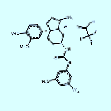 COc1ccc([C@@]23CC[C@@H](NC(=O)Nc4cc(C)cc(C(F)(F)F)c4)C[C@@H]2N(C)CC3)cc1OC.O=C(O)C(F)(F)F